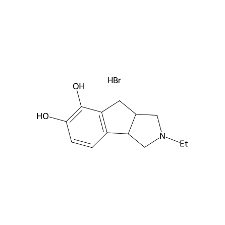 Br.CCN1CC2Cc3c(ccc(O)c3O)C2C1